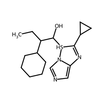 CCC(C1CCCCC1)C(O)[SH]1C(C2CC2)=Nc2cncn21